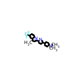 Cc1cc(-c2ccc(-c3ccc(N(C)C)cc3)cn2)nc2ccc(C(F)(F)F)cc12